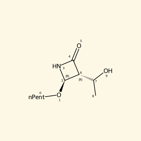 CCCCCO[C@H]1NC(=O)[C@@H]1C(C)O